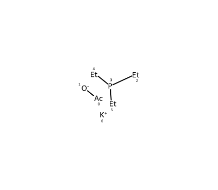 CC(=O)[O-].CCP(CC)CC.[K+]